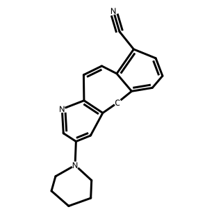 N#Cc1cccc2c1C=Cc1ncc(N3CCCCC3)cc1C2